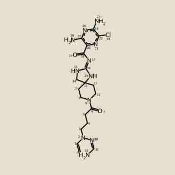 C=CN(CCCC(=O)N1CCC2(CC1)CN/C(=N\C(=O)c1nc(Cl)c(N)nc1N)N2)/N=C\N